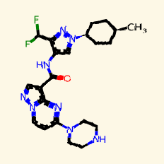 C[C@H]1CC[C@@H](n2cc(NC(=O)c3cnn4ccc(N5CCNCC5)nc34)c(C(F)F)n2)CC1